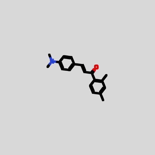 Cc1ccc(C(=O)C=Cc2ccc(N(C)C)cc2)c(C)c1